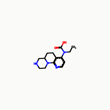 CCN(C(=O)O)c1ccnc2c1CCC1CNCCN21